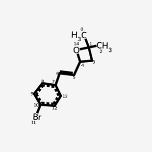 CC1(C)CC(/C=C/c2ccc(Br)cc2)O1